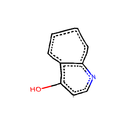 Oc1[c]cnc2ccccc12